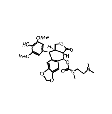 COc1cc([C@@H]2c3cc4c(cc3[C@H](OC(=O)N(C)CCN(C)C)[C@H]3C(=O)OC[C@H]23)OCO4)cc(OC)c1O